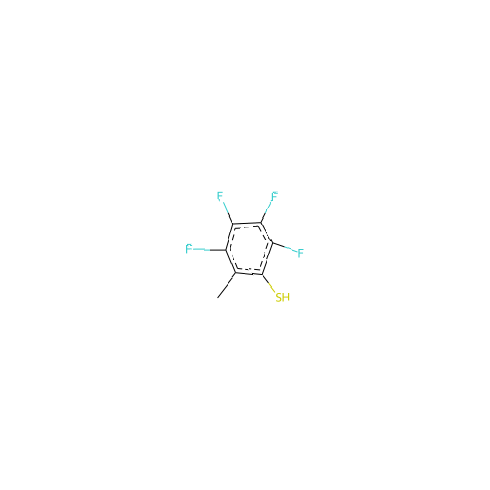 Cc1c(F)c(F)c(F)c(F)c1S